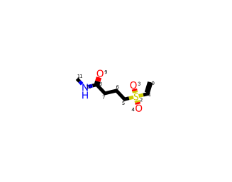 C=CS(=O)(=O)CCCC(=O)NC